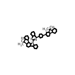 CC1(C)c2ccccc2-c2ccc(-c3ccc(-c4nc(-n5c6ccccc6c6ccc7c(c65)-c5ccccc5C7(C)C)nc5ccccc45)cc3)cc21